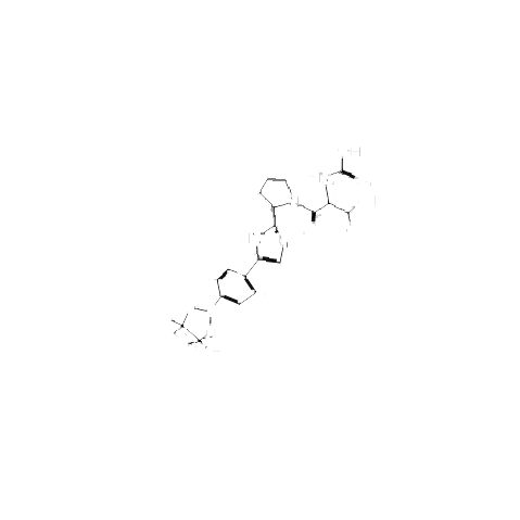 CC(C)C(NC(=O)O)C(=O)N1CCCC1c1ncc(-c2ccc(B3OC(C)(C)C(C)(C)O3)cc2)[nH]1